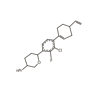 C=CC1CC=C(c2ccc(C3CCC(CCC)CO3)c(F)c2Cl)CC1